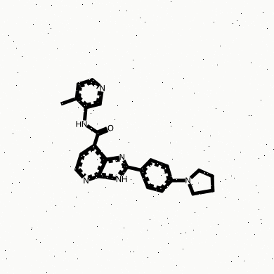 Cc1ccncc1NC(=O)c1ccnc2[nH]c(-c3ccc(N4CCCC4)cc3)nc12